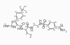 CCC[C@@H](NC(=O)c1nc(NC)sc1-c1ccc(C(C)(C)C)cc1)C(=O)NCCNS(=O)(=O)c1ccc(C(N)=O)cc1